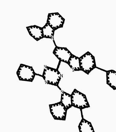 c1ccc(-c2ccc3c(c2)sc2c(-c4nc(-c5ccccc5)nc(-n5c6ccccc6c6c(-c7ccccc7)cccc65)n4)cc(-n4c5ccccc5c5ccccc54)cc23)cc1